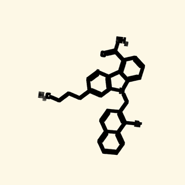 CCCCc1c[c]c2c3c(C(N)=O)cccc3n(Cc3ccc4ccccc4c3Br)c2c1